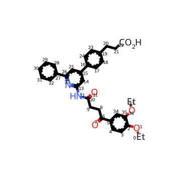 CCOc1ccc(C(=O)CCC(=O)Nc2cc(-c3ccc(CCC(=O)O)cc3)cc(-c3ccccc3)n2)cc1OCC